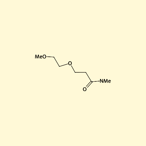 CNC(=O)CCOCCOC